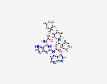 O=C(Nc1nc(N(C(=O)OC(c2ccccc2)c2ccccc2)c2n[c]nc3nc[nH]c23)nc2nc[nH]c12)OCc1ccccc1